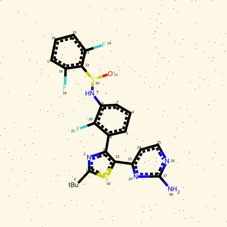 CC(C)(C)c1nc(-c2cccc(N[S+]([O-])c3c(F)cccc3F)c2F)c(-c2ccnc(N)n2)s1